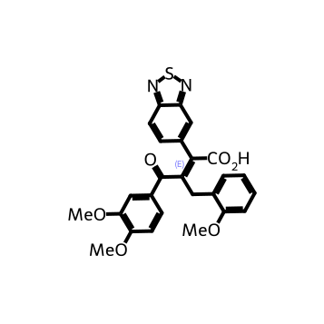 COc1ccccc1C/C(C(=O)c1ccc(OC)c(OC)c1)=C(\C(=O)O)c1ccc2nsnc2c1